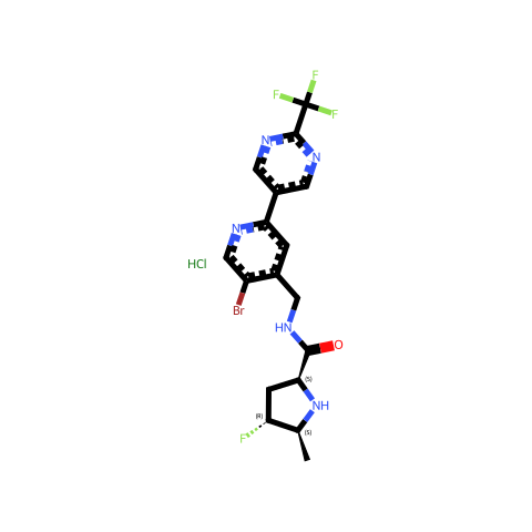 C[C@@H]1N[C@H](C(=O)NCc2cc(-c3cnc(C(F)(F)F)nc3)ncc2Br)C[C@H]1F.Cl